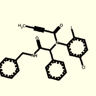 CC#CC(=O)N(c1cc(Cl)ccc1I)C(C(=O)NCc1ccccc1)c1ccccc1